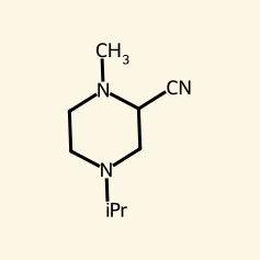 CC(C)N1CCN(C)C(C#N)C1